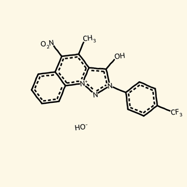 Cc1c([N+](=O)[O-])c2ccccc2[n+]2nn(-c3ccc(C(F)(F)F)cc3)c(O)c12.[OH-]